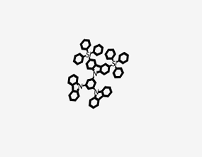 c1ccc([Si](c2ccccc2)(c2ccccc2)c2ccc3c(c2)c2cc([Si](c4ccccc4)(c4ccccc4)c4ccccc4)ccc2n3-c2cc(-n3c4ccccc4c4ccccc43)cc(-n3c4ccccc4c4ccccc43)c2)cc1